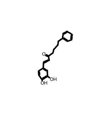 O=C(C=Cc1ccc(O)c(O)c1)CCCCc1ccccc1